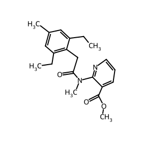 CCc1cc(C)cc(CC)c1CC(=O)N(C)c1ncccc1C(=O)OC